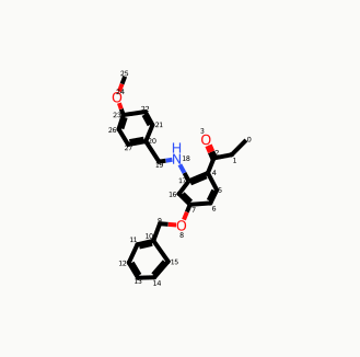 CCC(=O)c1ccc(OCc2ccccc2)cc1NCc1ccc(OC)cc1